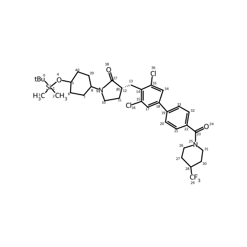 CC(C)(C)[Si](C)(C)OC1CCC(N2CC[C@@H](Cc3c(Cl)cc(-c4ccc(C(=O)N5CCC(C(F)(F)F)CC5)cc4)cc3Cl)C2=O)CC1